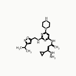 C=C(/C=C(\NN)C1CC1)Nc1cc(N2CCNCC2)nc(NCc2cc(C(C)C)no2)n1